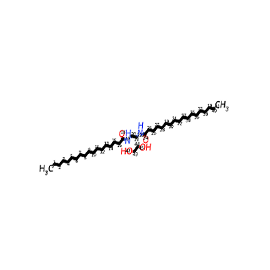 CCCCCCCCCCCCCCCCCC(=O)NCCNC(=O)CCCCCCCCCCCCCCCCC.OCCO